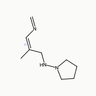 C=N/C=C(/C)CNN1CCCC1